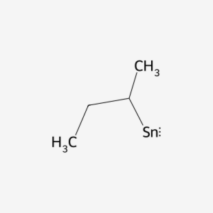 CC[CH](C)[Sn]